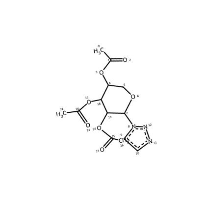 CC(=O)OC1COC(n2ccnn2)C(OC(C)=O)C1OC(C)=O